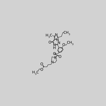 CCCc1nc(C)c2c(=O)[nH]c(-c3cc(S(=O)(=O)N4CCN(CCCC(=O)OCC)CC4)ccc3OCC)nn12